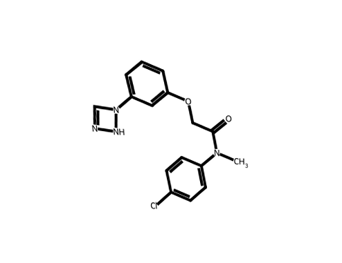 CN(C(=O)COc1cccc(-n2cn[nH]2)c1)c1ccc(Cl)cc1